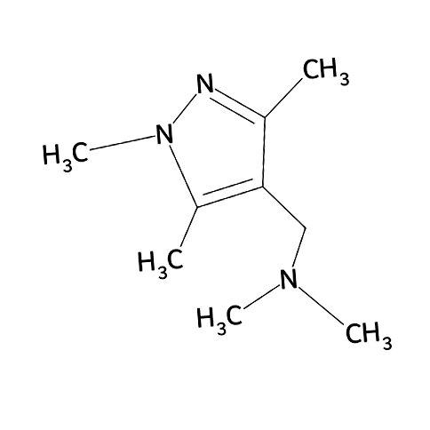 Cc1nn(C)c(C)c1CN(C)C